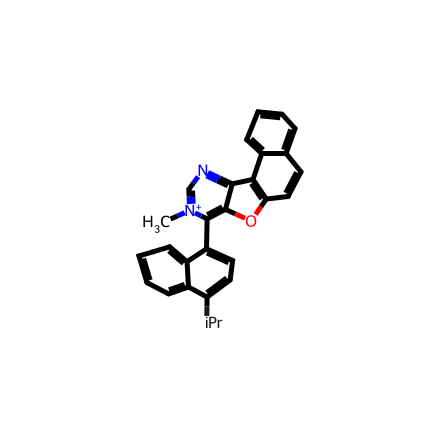 CC(C)c1ccc(-c2c3oc4ccc5ccccc5c4c3nc[n+]2C)c2ccccc12